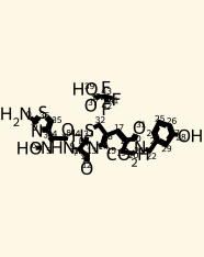 Nc1nc(C(=NO)C(=O)N[C@@H]2C(=O)N3C(C(=O)O)=C(C=C4CCN(Cc5cccc(O)c5)C4=O)CS[C@H]23)cs1.O=C(O)C(F)(F)F